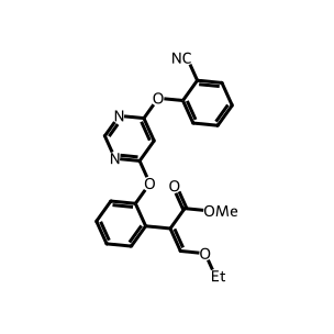 CCOC=C(C(=O)OC)c1ccccc1Oc1cc(Oc2ccccc2C#N)ncn1